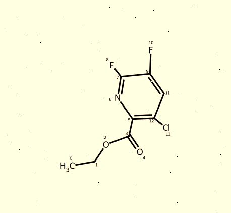 CCOC(=O)c1nc(F)c(F)cc1Cl